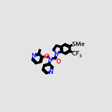 CSc1cc2c(cc1C(F)(F)F)N(C(=O)N(Oc1cccnc1C)c1cccnc1)CC2